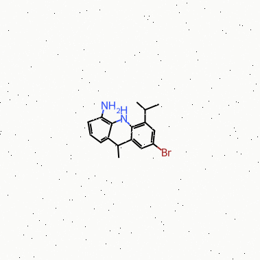 CC(C)c1cc(Br)cc2c1Nc1c(N)cccc1C2C